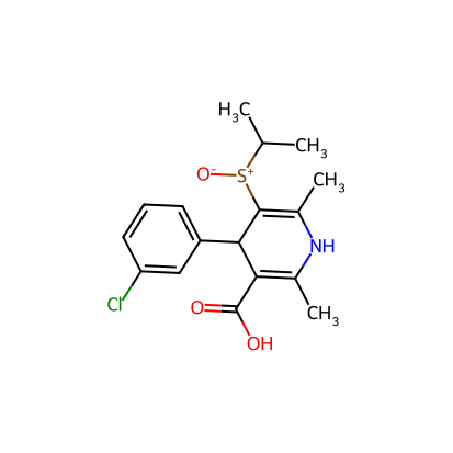 CC1=C(C(=O)O)C(c2cccc(Cl)c2)C([S+]([O-])C(C)C)=C(C)N1